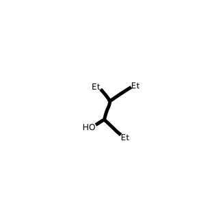 [CH2]CC(O)[C](CC)CC